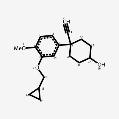 C#CC1(c2ccc(OC)c(OCC3CC3)c2)CCC(O)CC1